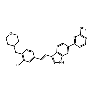 Nc1nccc(-c2ccc3c(C=Cc4ccc(CN5CCOCC5)c(Cl)c4)n[nH]c3c2)n1